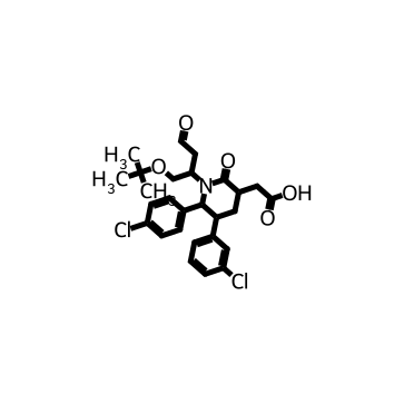 CC(C)(C)OCC(CC=O)N1C(=O)C(CC(=O)O)CC(c2cccc(Cl)c2)C1c1ccc(Cl)cc1